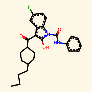 CCCCC1CCC(C(=O)c2c(O)n(C(=O)Nc3ccccc3)c3ccc(F)cc23)CC1